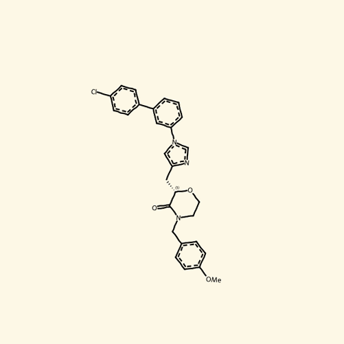 COc1ccc(CN2CCO[C@@H](Cc3cn(-c4cccc(-c5ccc(Cl)cc5)c4)cn3)C2=O)cc1